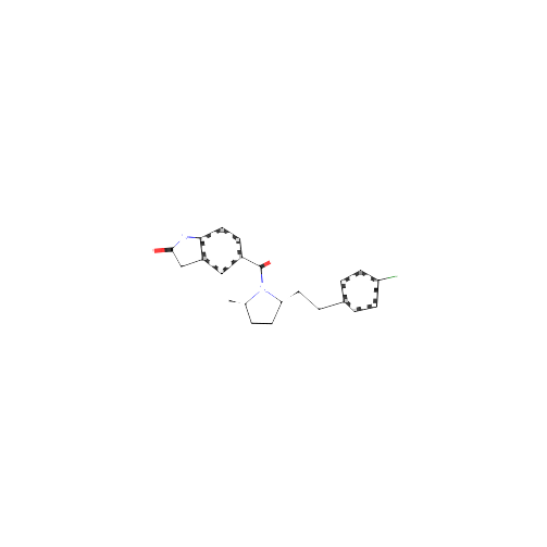 C[C@@H]1CC[C@H](CCc2ccc(F)cc2)N1C(=O)c1ccc2c(c1)CC(=O)N2